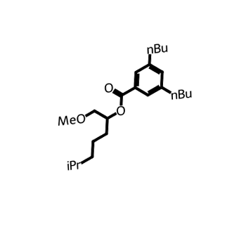 CCCCc1cc(CCCC)cc(C(=O)OC(CCCC(C)C)COC)c1